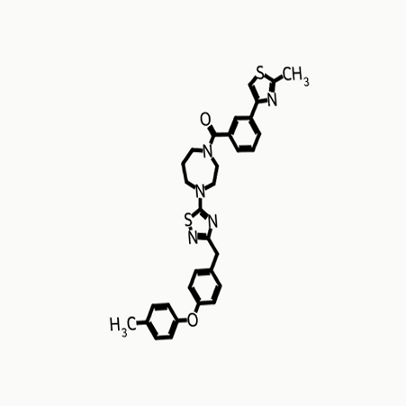 Cc1ccc(Oc2ccc(Cc3nsc(N4CCCN(C(=O)c5cccc(-c6csc(C)n6)c5)CC4)n3)cc2)cc1